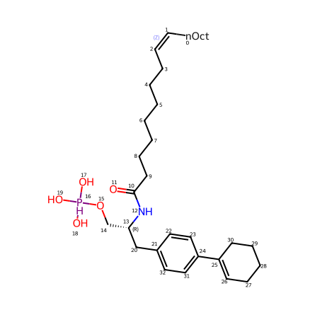 CCCCCCCC/C=C\CCCCCCCC(=O)N[C@@H](CO[PH](O)(O)O)Cc1ccc(C2=CCCCC2)cc1